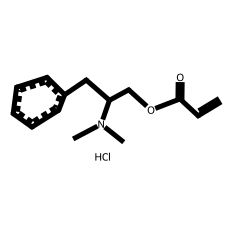 C=CC(=O)OCC(Cc1ccccc1)N(C)C.Cl